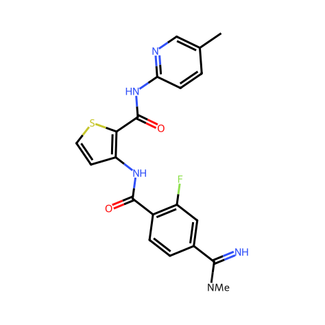 CNC(=N)c1ccc(C(=O)Nc2ccsc2C(=O)Nc2ccc(C)cn2)c(F)c1